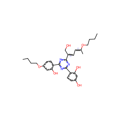 CCCCO/C(C)=C/C=C(\CO)c1nc(-c2ccc(O)cc2O)nc(-c2ccc(OCCCC)cc2O)n1